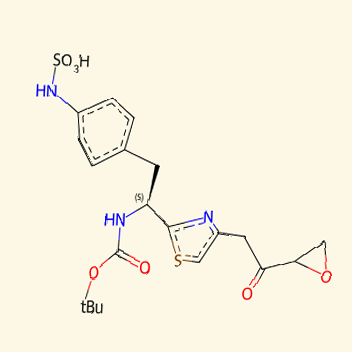 CC(C)(C)OC(=O)N[C@@H](Cc1ccc(NS(=O)(=O)O)cc1)c1nc(CC(=O)C2CO2)cs1